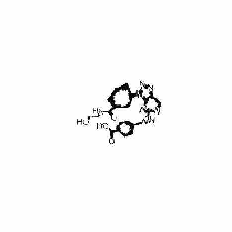 O=C(O)c1ccc(Nc2ncc3nnn(-c4cccc(C(=O)NCCO)c4)c3n2)cc1